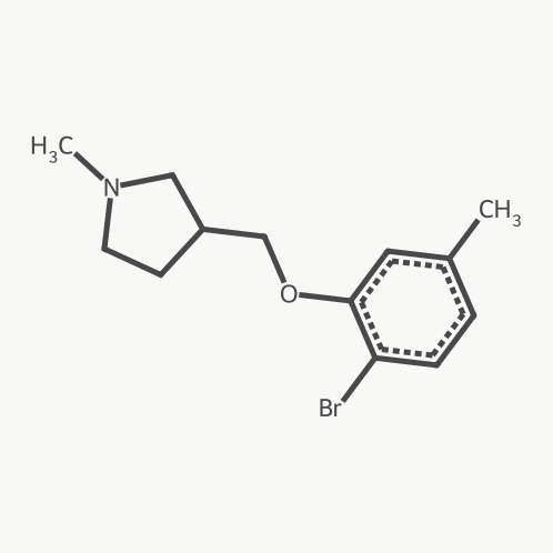 Cc1ccc(Br)c(OCC2CCN(C)C2)c1